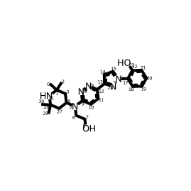 CC1(C)CC(N(CCO)c2ccc(-c3ccn(-c4ccccc4O)n3)nn2)CC(C)(C)N1